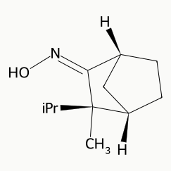 CC(C)[C@@]1(C)/C(=N\O)[C@@H]2CC[C@H]1C2